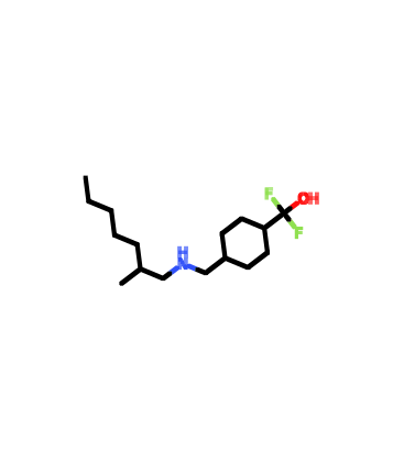 CCCCCC(C)CNCC1CCC(C(O)(F)F)CC1